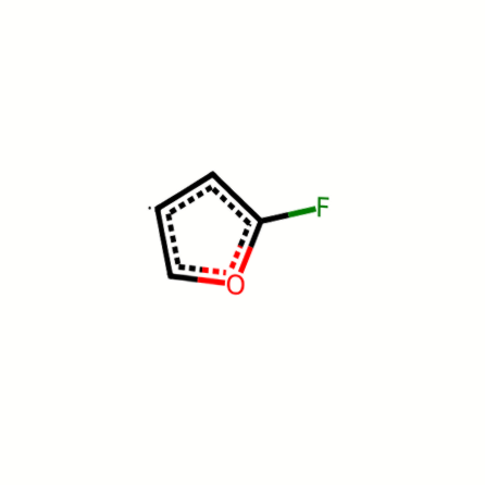 Fc1c[c]co1